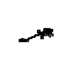 CCCCCCCCCCCCCCCC(=O)NCC(C)(C)OC